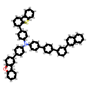 c1cc(-c2ccc(-c3ccc(N(c4ccc(-c5ccc6oc7ccccc7c6c5)cc4)c4ccc(-c5cccc6c5sc5ccccc56)cc4)cc3)cc2)cc(-c2ccc3ccccc3c2)c1